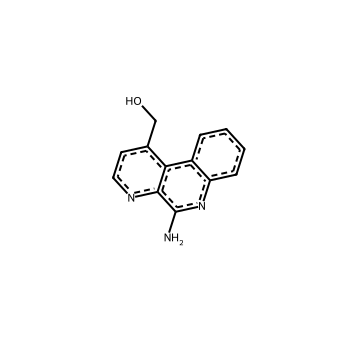 Nc1nc2ccccc2c2c(CO)ccnc12